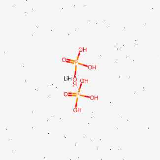 O=P(O)(O)O.O=P(O)(O)O.[LiH]